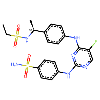 CCS(=O)(=O)N[C@@H](C)c1ccc(Nc2nc(Nc3ccc(S(N)(=O)=O)cc3)ncc2F)cc1